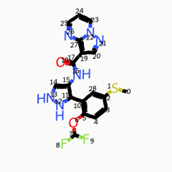 CSc1ccc(OC(F)F)c(C2NNC=C2NC(=O)c2cnn3cccnc23)c1